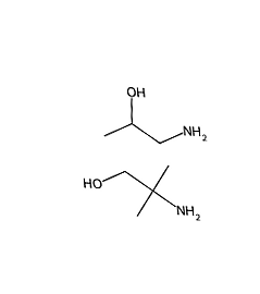 CC(C)(N)CO.CC(O)CN